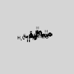 CN(C)CCNc1cc(F)cc(-c2nccc3[nH]c(-c4n[nH]c5ccc(-c6cncc(NC(=O)c7ccccc7)c6)nc45)nc23)c1